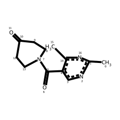 Cc1ncc(C(=O)N2CCC(=O)CC2)c(C)n1